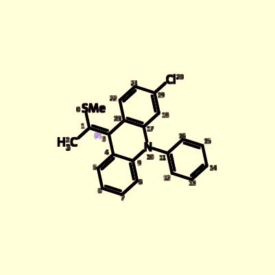 CS/C(C)=C1/c2ccccc2N(c2ccccc2)c2cc(Cl)ccc21